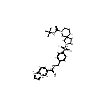 C=C(OC(C)(C)C)N1CCCC2(CCN(S(=O)(=O)c3ccc(CNC(=O)c4ccc5nccn5c4)cc3)C2)C1